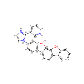 c1ccc2c(c1)oc1c2ccc2c3ccc4c(c5ncccc5c5nccn45)c3oc21